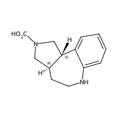 O=C(O)N1C[C@@H]2CCNc3ccccc3[C@H]2C1